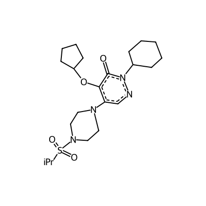 CC(C)S(=O)(=O)N1CCN(c2cnn(C3CCCCC3)c(=O)c2OC2CCCC2)CC1